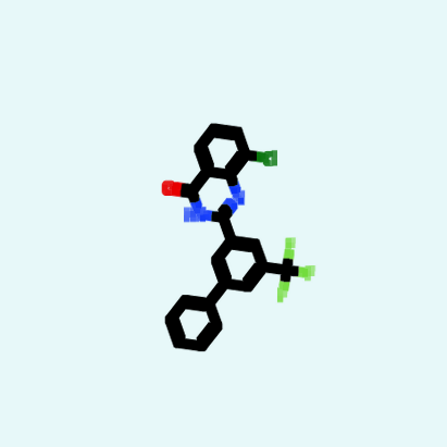 O=c1[nH]c(-c2cc(-c3ccccc3)cc(C(F)(F)F)c2)nc2c(Cl)cccc12